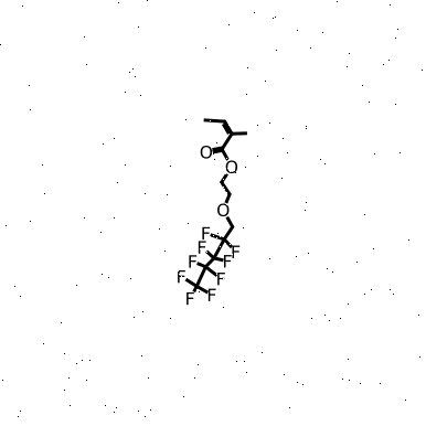 CC=C(C)C(=O)OCCOCC(F)(F)C(F)(F)C(F)(F)C(F)(F)F